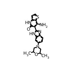 CC1CN(c2ccc3nc(-c4c(N)c5sccc5[nH]c4=O)[nH]c3c2)CC(C)O1